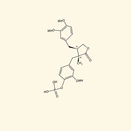 COc1ccc(C[C@H]2COC(=O)[C@]2(C)Cc2ccc(OP(=O)(O)O)c(OC)c2)cc1OC